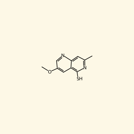 COc1cnc2cc(C)nc(S)c2c1